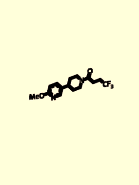 COc1ccc(C2CCN(C(=O)CCC(F)(F)F)CC2)cn1